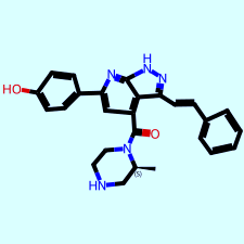 C[C@H]1CNCCN1C(=O)c1cc(-c2ccc(O)cc2)nc2[nH]nc(C=Cc3ccccc3)c12